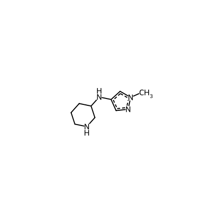 Cn1cc(NC2CCCNC2)cn1